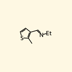 CC/N=C/c1ccsc1C